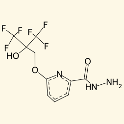 NNC(=O)c1cccc(OCC(O)(C(F)(F)F)C(F)(F)F)n1